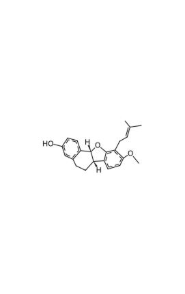 COc1ccc2c(c1CC=C(C)C)O[C@H]1c3ccc(O)cc3CC[C@@H]21